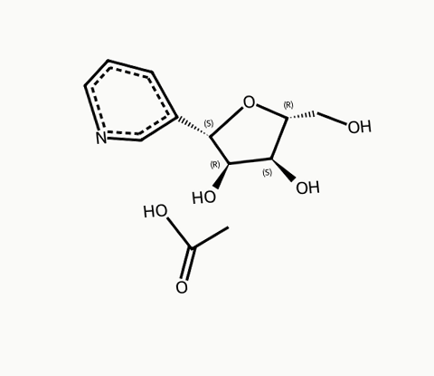 CC(=O)O.OC[C@H]1O[C@@H](c2cccnc2)[C@H](O)[C@@H]1O